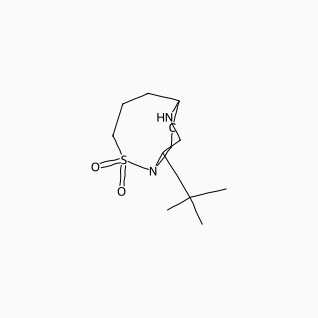 CC(C)(C)C1CNC2CCCS(=O)(=O)N1CC2